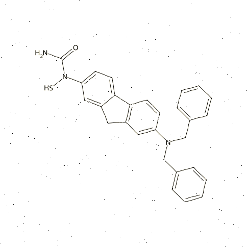 NC(=O)N(S)c1ccc2c(c1)Cc1cc(N(Cc3ccccc3)Cc3ccccc3)ccc1-2